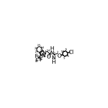 N=C(COc1ccc(Cl)cc1)NC(=O)Cn1nc(C(F)(F)F)c2c1CCCC2